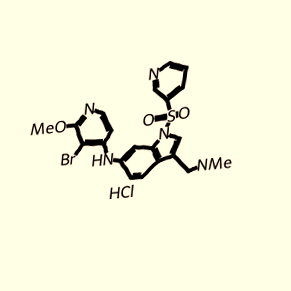 CNCc1cn(S(=O)(=O)c2cccnc2)c2cc(Nc3ccnc(OC)c3Br)ccc12.Cl